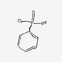 O=P(S)(Cl)c1ccccc1